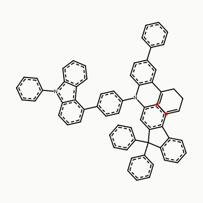 C1=CCCC(c2cc(-c3ccccc3)ccc2N(c2ccc(-c3cccc4c3c3ccccc3n4-c3ccccc3)cc2)c2ccc3c(c2)C(c2ccccc2)(c2ccccc2)c2ccccc2-3)=C1